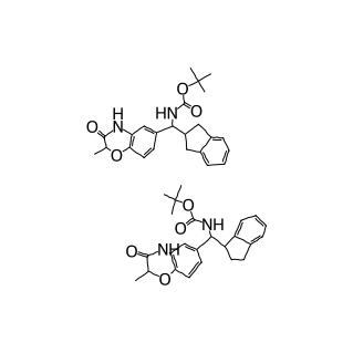 CC1Oc2ccc(C(NC(=O)OC(C)(C)C)C3CCc4ccccc43)cc2NC1=O.CC1Oc2ccc(C(NC(=O)OC(C)(C)C)C3Cc4ccccc4C3)cc2NC1=O